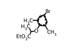 CCOC(=O)C(C)Oc1c(C)cc(Br)cc1C